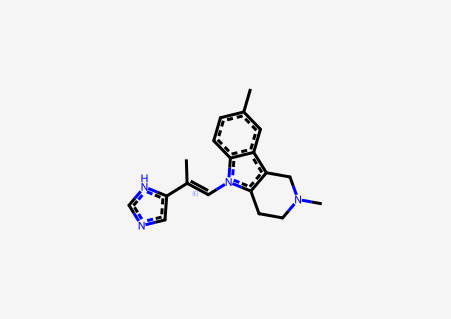 C/C(=C\n1c2c(c3cc(C)ccc31)CN(C)CC2)c1cnc[nH]1